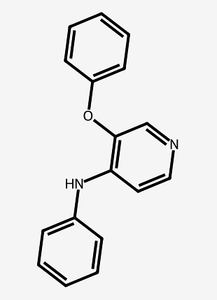 c1ccc(Nc2ccncc2Oc2ccccc2)cc1